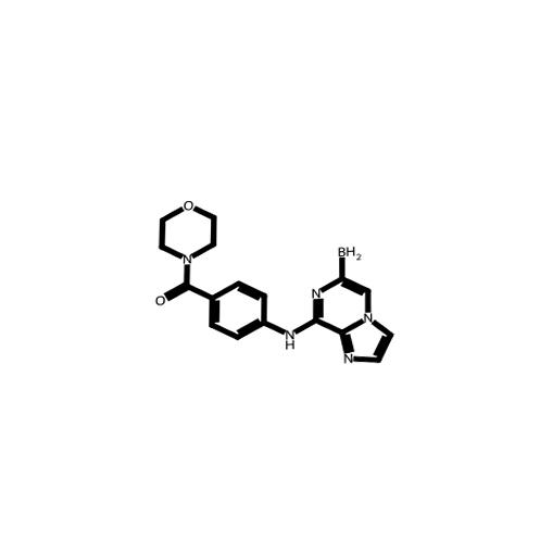 Bc1cn2ccnc2c(Nc2ccc(C(=O)N3CCOCC3)cc2)n1